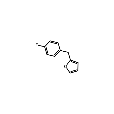 Fc1ccc(Cc2ccco2)cc1